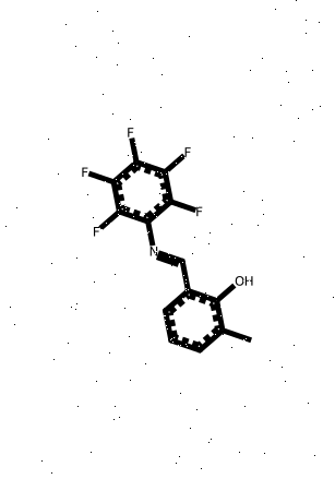 Cc1cccc(/C=N/c2c(F)c(F)c(F)c(F)c2F)c1O